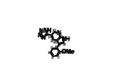 COc1ccccc1-c1c[nH]c2ncc(-c3nnn[nH]3)cc12